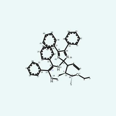 C=CC([C@H](C)[C@@H](C)OCC)C1(N/C(=C(\NC)c2ccccc2)c2ccccc2)N=C(c2ccccc2)C(c2ccccc2)=N1